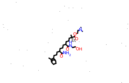 CCC(C)(CCCC(CCCC(CCCC1C2CCC(C2)C1C)C(N)=O)C(=O)NCCO)C(=O)OCCN(C)C